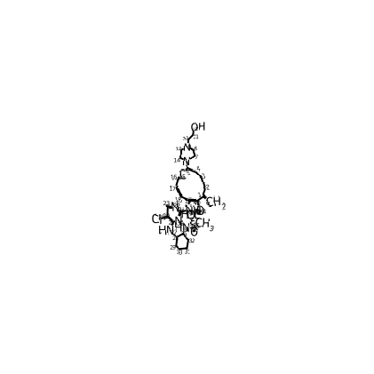 C=C1CCCC(N2CCN(CCO)CC2)CC/C=C\C(Nc2ncc(Cl)c(N[C@@H]3CCCC[C@H]3NS(C)(=O)=O)n2)=C/1OC